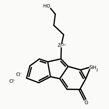 O=C1C=C2C(=[C]([Zr+2][CH2]CCO)c3ccccc32)C2=C1[SiH2]2.[Cl-].[Cl-]